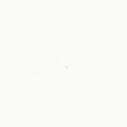 O=C(O)CCC(=O)N1C/C(=C\c2ccccc2F)C(=O)/C(=C/c2ccccc2F)C1